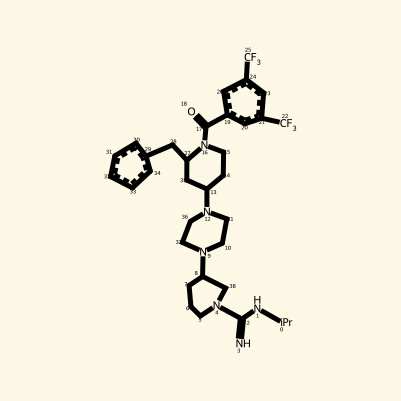 CC(C)NC(=N)N1CCCC(N2CCN(C3CCN(C(=O)c4cc(C(F)(F)F)cc(C(F)(F)F)c4)C(Cc4ccccc4)C3)CC2)C1